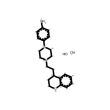 Cl.Cl.Nc1ccc(N2CCN(CCC3CCOc4ccccc43)CC2)cc1